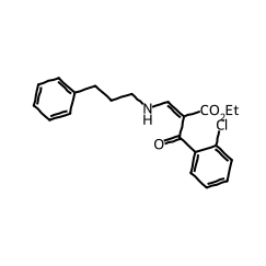 CCOC(=O)/C(=C/NCCCc1ccccc1)C(=O)c1ccccc1Cl